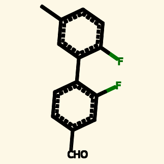 Cc1ccc(F)c(-c2ccc(C=O)cc2F)c1